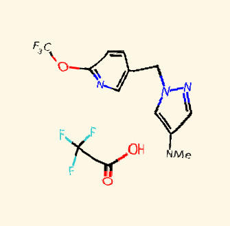 CNc1cnn(Cc2ccc(OC(F)(F)F)nc2)c1.O=C(O)C(F)(F)F